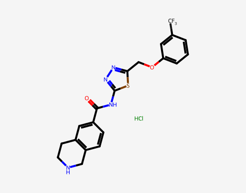 Cl.O=C(Nc1nnc(COc2cccc(C(F)(F)F)c2)s1)c1ccc2c(c1)CCNC2